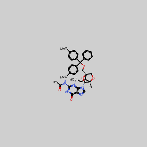 COc1ccc(C(OC[C@]23CO[C@@H](C2CC(=O)O)[C@H](n2cnc4c(=O)[nH]c(NC(=O)C(C)C)nc42)O3)(c2ccccc2)c2ccc(OC)cc2)cc1